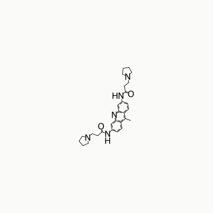 Cc1c2ccc(NC(=O)CCN3CCCC3)cc2nc2cc(NC(=O)CCN3CCCC3)ccc12